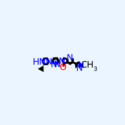 Cn1cc(-c2cnc3c(c2)C(=O)N(c2ccc(N4CCN[C@@H](C5CC5)C4)nn2)C3)cn1